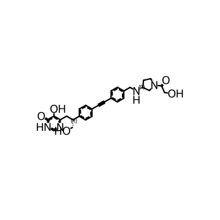 O=C(CO)N1CC[C@@H](NCc2ccc(C#Cc3ccc([C@H](CO)Cc4nc[nH]c(=O)c4O)cc3)cc2)C1